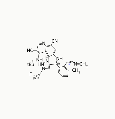 C=N/C=C\c1c(C)cccc1[C@H](Nc1cc(C#N)c2ncc(C#N)c(NCC(C)(C)C)c2c1)C1=CN(C2C[C@@H]2F)NN1